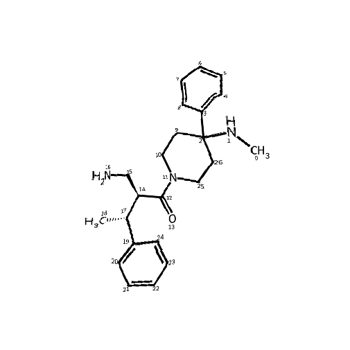 CNC1(c2ccccc2)CCN(C(=O)[C@H](CN)[C@@H](C)c2ccccc2)CC1